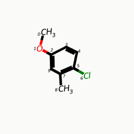 COc1ccc(Cl)c(C)c1